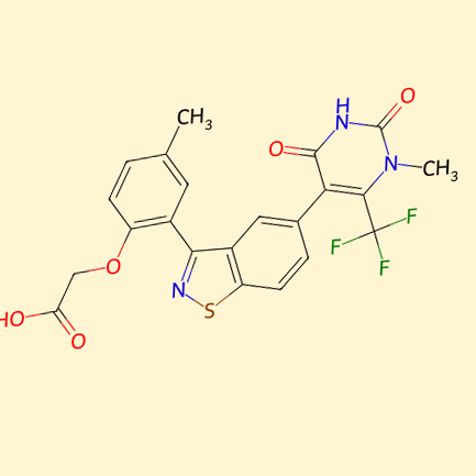 Cc1ccc(OCC(=O)O)c(-c2nsc3ccc(-c4c(C(F)(F)F)n(C)c(=O)[nH]c4=O)cc23)c1